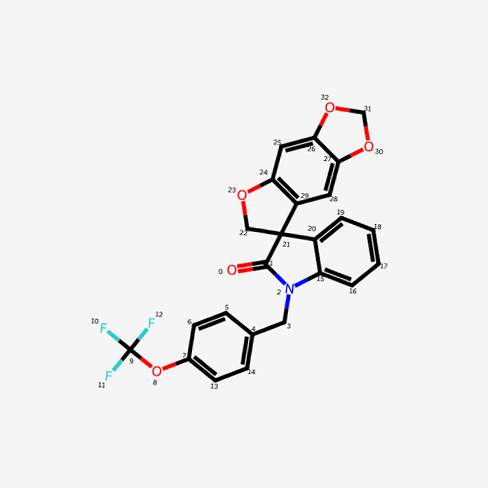 O=C1N(Cc2ccc(OC(F)(F)F)cc2)c2ccccc2C12COc1cc3c(cc12)OCO3